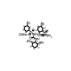 COc1ccc(C(C)=O)cc1S(=O)(=O)NC(=O)Nc1c(C(C)C)cccc1C(C)C.COc1ccc(C(C)=O)cc1S(N)(=O)=O